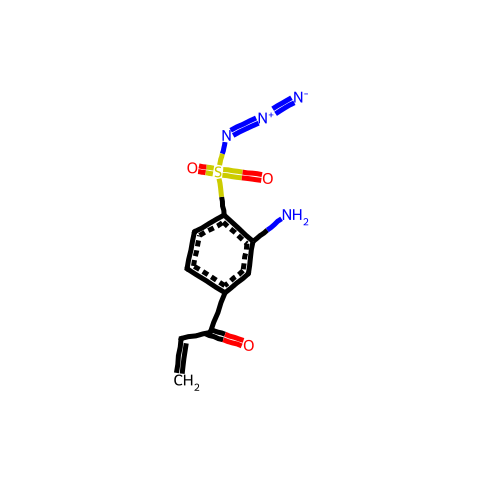 C=CC(=O)c1ccc(S(=O)(=O)N=[N+]=[N-])c(N)c1